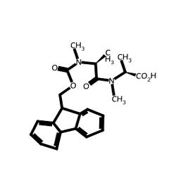 C[C@@H](C(=O)N(C)[C@@H](C)C(=O)O)N(C)C(=O)OCC1c2ccccc2-c2ccccc21